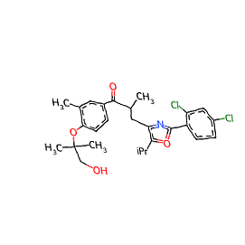 Cc1cc(C(=O)C(C)Cc2nc(-c3ccc(Cl)cc3Cl)oc2C(C)C)ccc1OC(C)(C)CO